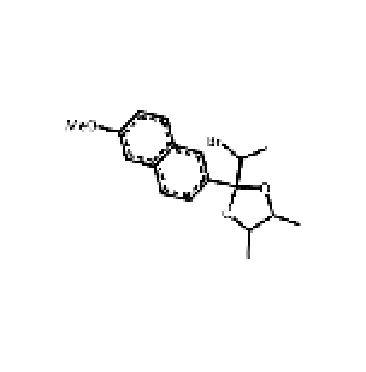 COc1ccc2cc(C3(C(C)Br)OC(C)C(C)O3)ccc2c1